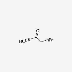 C#CC(=O)CCCC